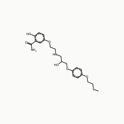 CSCCOc1ccc(OCC(O)CNCCOc2ccc(O)c(C(N)=O)c2)cc1